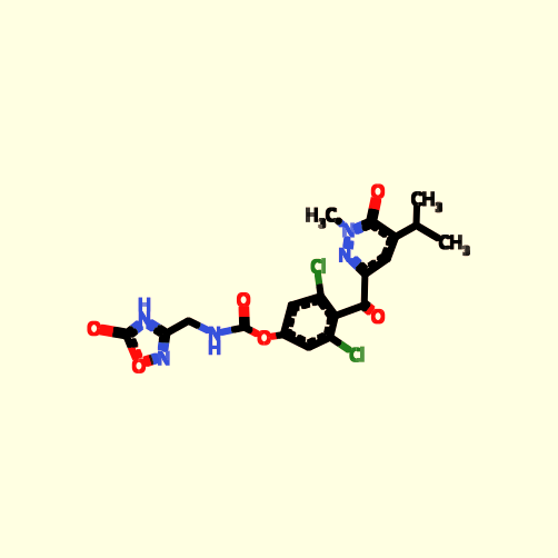 CC(C)c1cc(C(=O)c2c(Cl)cc(OC(=O)NCc3noc(=O)[nH]3)cc2Cl)nn(C)c1=O